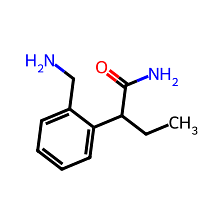 CCC(C(N)=O)c1ccccc1CN